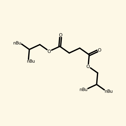 CCCCC(CCCC)COC(=O)CCC(=O)OCC(CCCC)CCCC